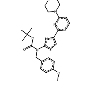 COc1ccc(CN(C(=O)OC(C)(C)C)c2nc(-c3cccc(N4CCOCC4)n3)cs2)cc1